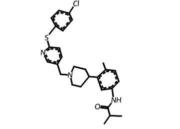 Cc1ccc(NC(=O)C(C)C)cc1C1CCN(Cc2ccc(Sc3ccc(Cl)cc3)nc2)CC1